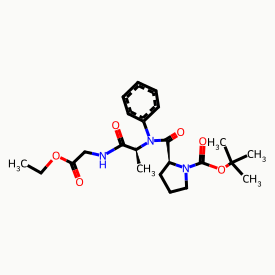 CCOC(=O)CNC(=O)[C@H](C)N(C(=O)[C@@H]1CCCN1C(=O)OC(C)(C)C)c1ccccc1